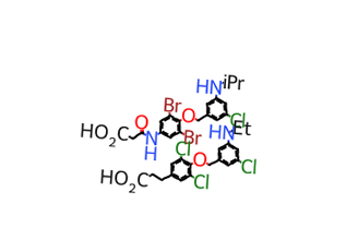 CC(C)Nc1cc(Cl)cc(COc2c(Br)cc(NC(=O)CC(=O)O)cc2Br)c1.CCNc1cc(Cl)cc(COc2c(Cl)cc(CCC(=O)O)cc2Cl)c1